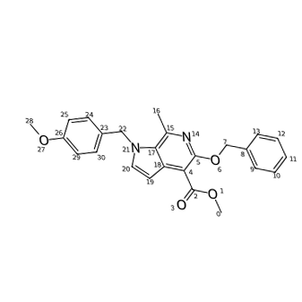 COC(=O)c1c(OCc2ccccc2)nc(C)c2c1ccn2Cc1ccc(OC)cc1